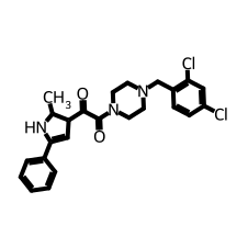 CC1NC(c2ccccc2)=CC1C(=O)C(=O)N1CCN(Cc2ccc(Cl)cc2Cl)CC1